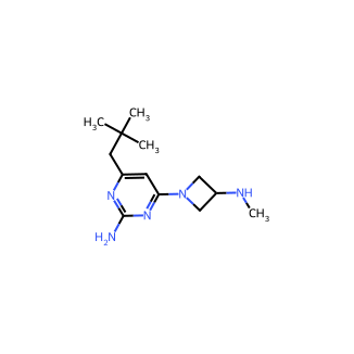 CNC1CN(c2cc(CC(C)(C)C)nc(N)n2)C1